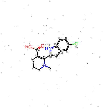 CN1CCCC(C(=O)O)=C1c1cc2cc(Cl)ccc2[nH]1